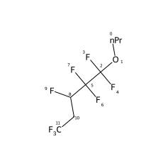 CCCOC(F)(F)C(F)(F)C(F)CC(F)(F)F